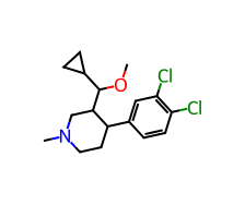 COC(C1CC1)C1CN(C)CCC1c1ccc(Cl)c(Cl)c1